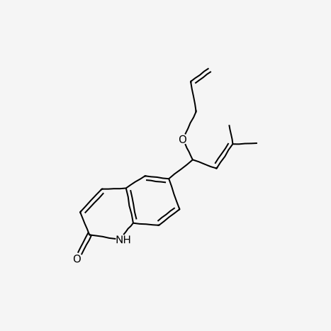 C=CCOC(C=C(C)C)c1ccc2[nH]c(=O)ccc2c1